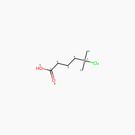 C[Si](C)(Cl)CCCC(=O)O